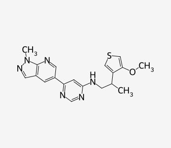 COc1cscc1C(C)CNc1cc(-c2cnc3c(cnn3C)c2)ncn1